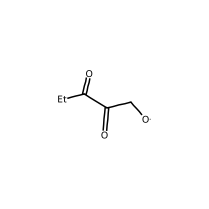 CCC(=O)C(=O)C[O]